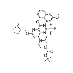 COc1cc(-n2c(C(F)(F)F)nc3c(N4[C@@H](C)CN(C(=O)OC(C)(C)C)C[C@@H]4C)nc(OC[C@@H]4CCCN4C)nc3c2=O)c2ccccc2c1